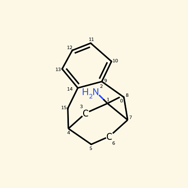 CC1(N)CC2CCC1Cc1ccccc1C2